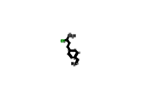 C=Cc1ccc(CCC(Cl)C(=O)O)cc1